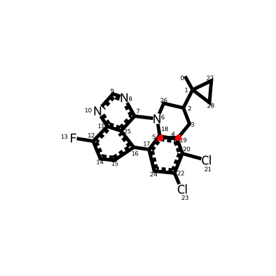 CC1(C2CCCN(c3ncnc4c(F)ccc(-c5ccc(Cl)c(Cl)c5)c34)C2)CC1